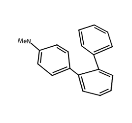 CNc1ccc(-c2ccccc2-c2ccccc2)cc1